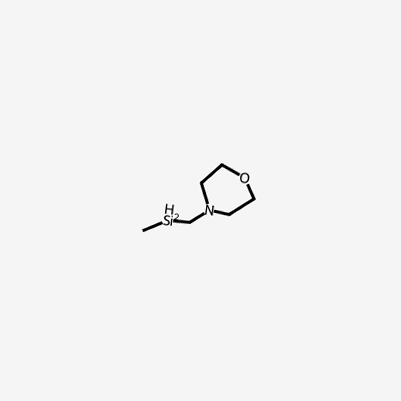 C[SiH2]CN1CCOCC1